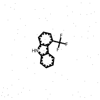 FC(F)(F)c1cccc2[nH]c3ccccc3c12